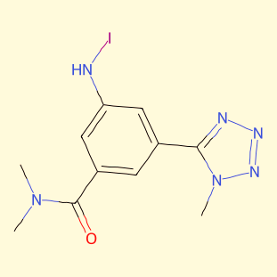 CN(C)C(=O)c1cc(NI)cc(-c2nnnn2C)c1